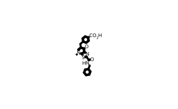 Cn1cc(Cc2ccc(C(=O)O)cc2)c(=O)c2nc(C(=O)NCc3ccccc3)sc21